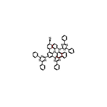 N#Cc1ccc(-c2cc(-c3nc(-c4ccccc4)nc(-c4ccccc4)n3)cc(-c3nc(-c4ccccc4)nc(-c4ccccc4)n3)c2N2c3ccccc3N(c3nc(-c4ccccc4)nc(-c4ccccc4)n3)c3ccccc32)cc1